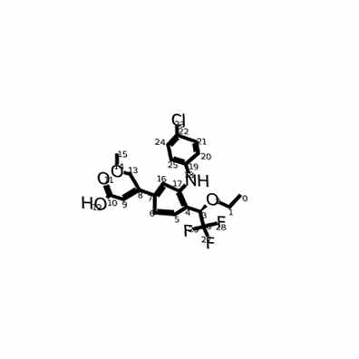 CCO[C@H](c1ccc(/C(=C/C(=O)O)COC)cc1Nc1ccc(Cl)cc1)C(F)(F)F